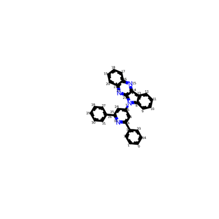 c1ccc(-c2cc(-n3c4ccccc4c4nc5ccccc5nc43)cc(-c3ccccc3)n2)cc1